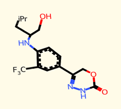 CC(C)CC(CO)Nc1ccc(C2=NNC(=O)OC2)cc1C(F)(F)F